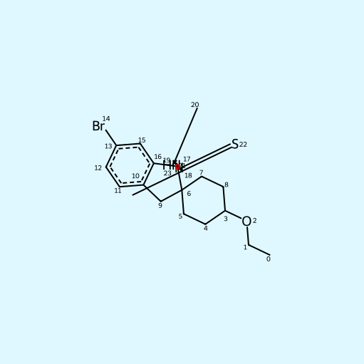 CCOC1CCC2(CC1)Cc1ccc(Br)cc1C21N=C(C)C(=S)N1